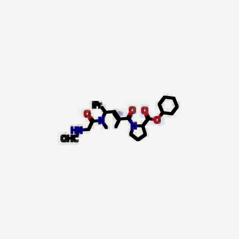 C/C(=C\C(C(C)C)N(C)C(=O)CNC=O)C(=O)N1CCCC1C(=O)OC1CCCCC1